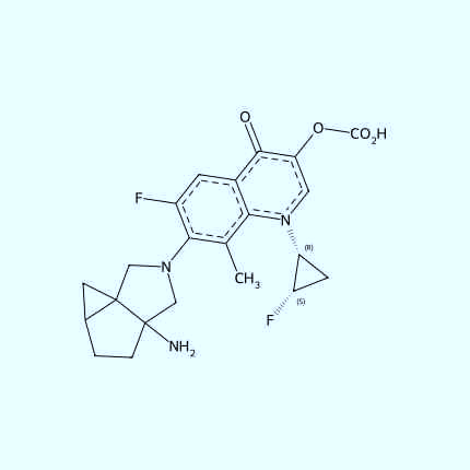 Cc1c(N2CC3(N)CCC4CC43C2)c(F)cc2c(=O)c(OC(=O)O)cn([C@@H]3C[C@@H]3F)c12